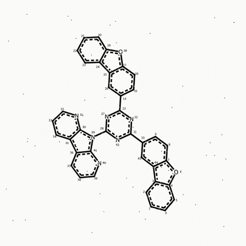 c1ccc2c(c1)oc1ccc(-c3nc(-c4ccc5oc6ccccc6c5c4)nc(-n4c5ncccc5c5cccnc54)n3)cc12